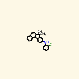 CC1(C)c2cc(Nc3ccccc3Cl)ccc2-c2c1ccc1ccccc21